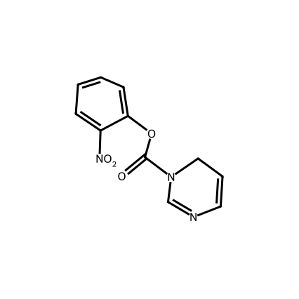 O=C(Oc1ccccc1[N+](=O)[O-])N1C=NC=CC1